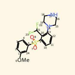 COc1cccc(S(=O)(=O)c2cccc(N3CCNCC3)c2C(F)F)c1